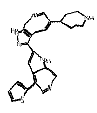 c1csc(-c2cncc3[nH]c(-c4n[nH]c5ncc(C6CCNCC6)cc45)cc23)c1